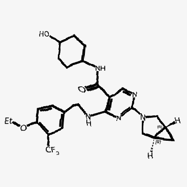 CCOc1ccc(CNc2nc(N3C[C@@H]4C[C@H]4C3)ncc2C(=O)NC2CCC(O)CC2)cc1C(F)(F)F